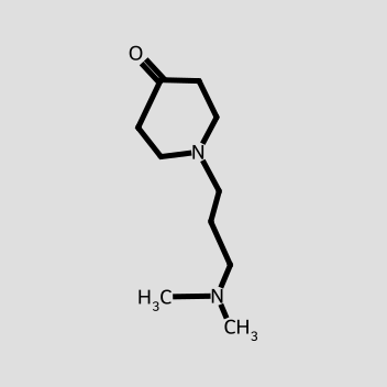 CN(C)CCCN1CCC(=O)CC1